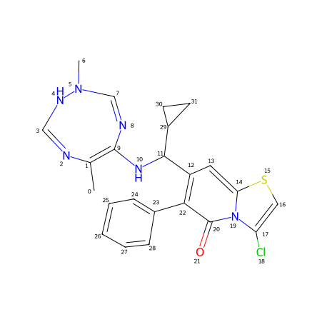 Cc1nc[nH]n(C)cnc1NC(c1cc2scc(Cl)n2c(=O)c1-c1ccccc1)C1CC1